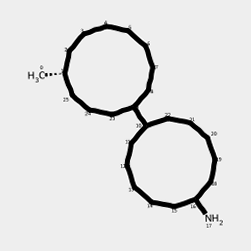 C[C@@H]1CCCCCCCC(C2CCCCCC(N)CCCCC2)CCC1